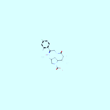 COC1CC([C@H](OC)[C@@H](C)C(=O)NCC(=NO)c2ccc(F)cc2C)N(C(=O)OC(C)(C)C)C1